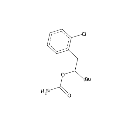 CC(C)(C)C(Cc1ccccc1Cl)OC(N)=O